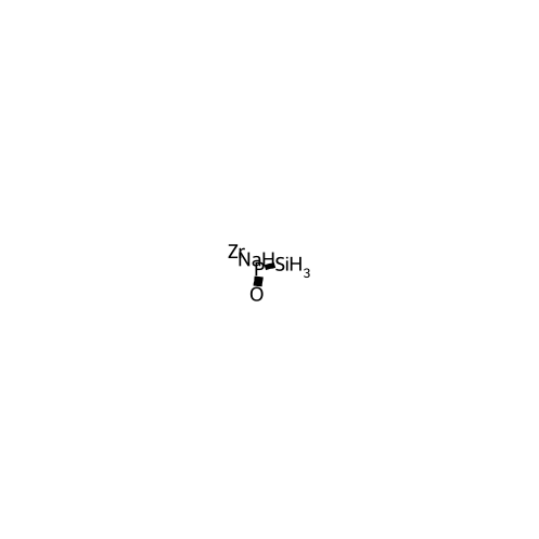 O=P[SiH3].[NaH].[Zr]